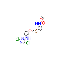 CC(C)(C)OC(=O)Nc1cccc(SCCOc2cccc(Nc3nc(Cl)ncc3Cl)c2)c1